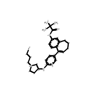 CC(C)(C)C(=O)Oc1ccc2c(c1)CCCC=C2c1ccc(OC2CCN(CCCF)C2)nc1